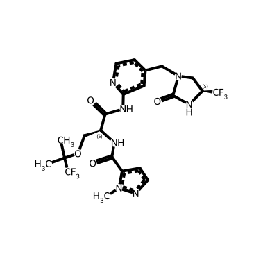 Cn1nccc1C(=O)N[C@@H](COC(C)(C)C(F)(F)F)C(=O)Nc1cc(CN2C[C@@H](C(F)(F)F)NC2=O)ccn1